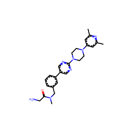 Cc1cc(N2CCN(c3ncc(-c4cccc(CN(C)C(=O)CN)c4)cn3)CC2)cc(C)n1